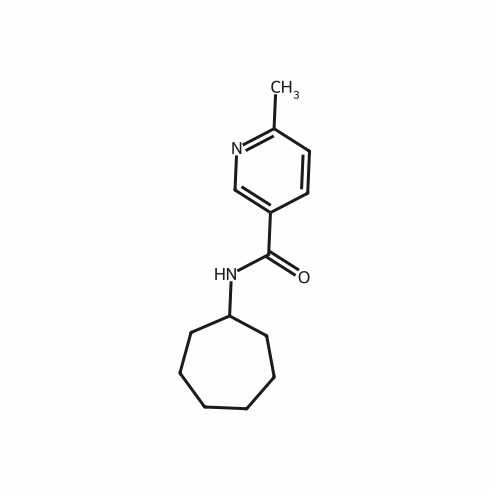 Cc1ccc(C(=O)NC2CCCCCC2)cn1